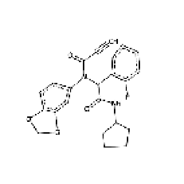 C#CC(=O)N(c1ccc2c(c1)OCO2)C(C(=O)NC1CCCC1)c1ccccc1F